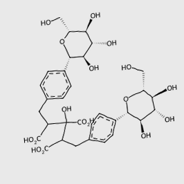 O=C(O)C(Cc1ccc([C@@H]2O[C@H](CO)[C@@H](O)[C@H](O)[C@H]2O)cc1)C(O)(C(=O)O)C(Cc1ccc([C@@H]2O[C@H](CO)[C@@H](O)[C@H](O)[C@H]2O)cc1)C(=O)O